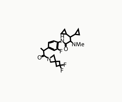 CNC(C(=O)Nc1ccc(C(C)C(=O)N2CC3(C2)CC(F)(F)C3)cc1F)C(C1CC1)C1CC1